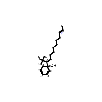 C/C=C/CCCCCCCC(C(C)(C)C)C1(O)C=CC=CC1